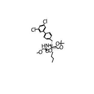 CCCCO[C@@H]([C@@H]1COC(C)(C)O1)[C@@H](Cc1ccc(-c2cc(Cl)cc(Cl)c2)cc1)NC(=O)COC